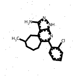 CC1CCCc2c(-c3ccccc3Cl)nc3[nH]nc(N)c3c2C1